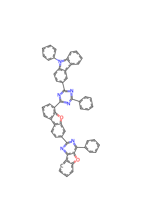 c1ccc(-c2nc(-c3ccc4c(c3)c3ccccc3n4-c3ccccc3)nc(-c3cccc4c3oc3cc(-c5nc(-c6ccccc6)c6oc7ccccc7c6n5)ccc34)n2)cc1